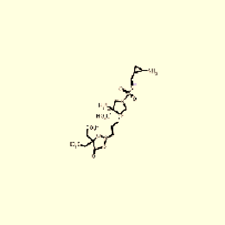 NC1CC1/C=N/S(=O)(=O)N1C[C@H](CCCB2OC(=O)C(CC(=O)O)(CC(=O)O)O2)[C@](N)(C(=O)O)C1